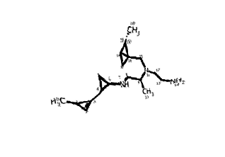 CC1C=C1C1CC1NCC(C)N(CCN)CC12CC1[C@@H]2C